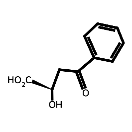 O=C(C[C@@H](O)C(=O)O)c1ccccc1